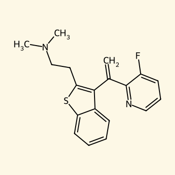 C=C(c1ncccc1F)c1c(CCN(C)C)sc2ccccc12